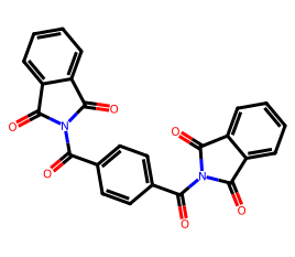 O=C(c1ccc(C(=O)N2C(=O)c3ccccc3C2=O)cc1)N1C(=O)c2ccccc2C1=O